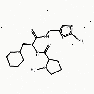 CN1CCCC1C(=O)N[C@@H](CC1CCCCC1)C(=O)NCc1cnc(N)s1